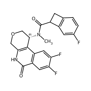 CN(C(=O)C1Cc2ccc(F)cc21)[C@H]1COCc2[nH]c(=O)c3cc(F)c(F)cc3c21